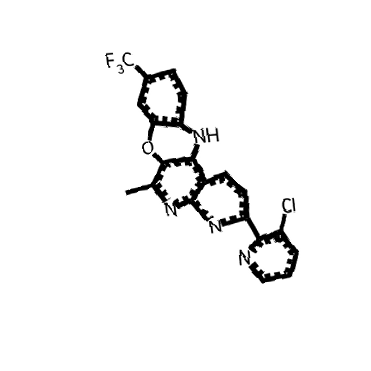 Cc1nc2nc(-c3ncccc3Cl)ccc2c2c1Oc1cc(C(F)(F)F)ccc1N2